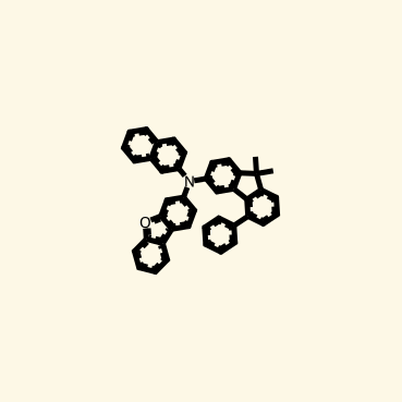 CC1(C)c2ccc(N(c3ccc4ccccc4c3)c3ccc4c(c3)oc3ccccc34)cc2-c2c(-c3ccccc3)cccc21